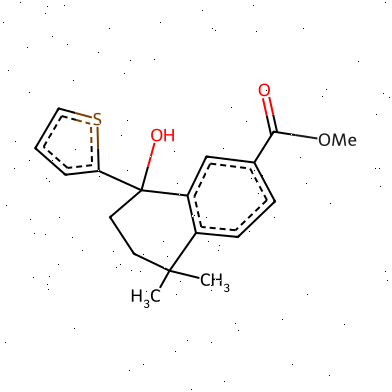 COC(=O)c1ccc2c(c1)C(O)(c1cccs1)CCC2(C)C